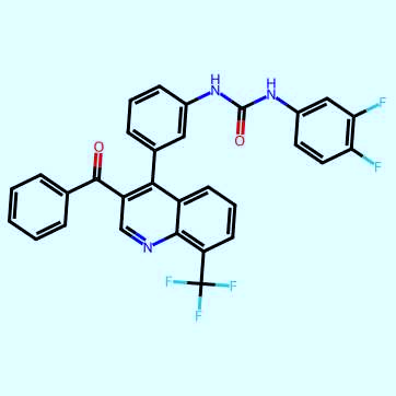 O=C(Nc1cccc(-c2c(C(=O)c3ccccc3)cnc3c(C(F)(F)F)cccc23)c1)Nc1ccc(F)c(F)c1